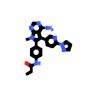 CCC(=O)Nc1ccc(-c2c(-c3ccc(-n4cccn4)nc3)c3c(N)ncnc3n2C)cc1